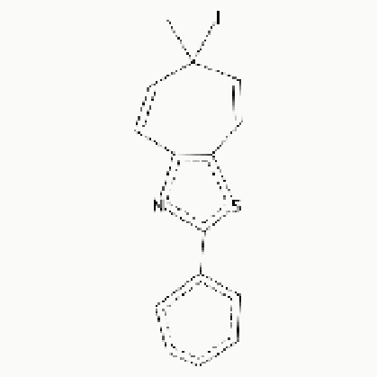 CC1(I)C=Cc2nc(-c3ccccc3)sc2C=C1